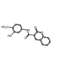 O=C(O)c1ccc(NC(=O)c2cc3ccccc3oc2=O)cc1O